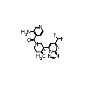 C=C1CCN(C(=O)c2ccncc2N)C[C@H]1c1cc(C(F)F)nc2ncnn12